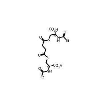 CCC(=O)N[C@@H](CSC(=O)CCC(=O)SC[C@H](NC(=O)CC)C(=O)O)C(=O)O